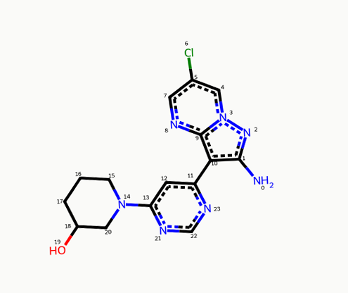 Nc1nn2cc(Cl)cnc2c1-c1cc(N2CCCC(O)C2)ncn1